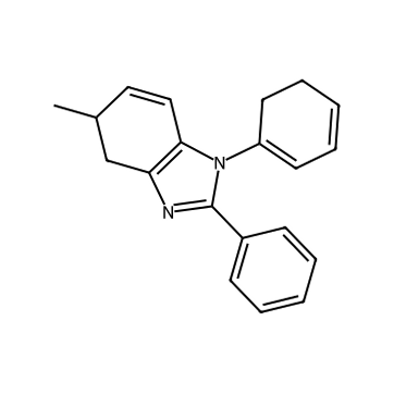 CC1C=Cc2c(nc(-c3ccccc3)n2C2=CC=CCC2)C1